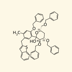 Cc1cc(OCc2ccccc2)c(C2(O)O[C@H](COCc3ccccc3)C[C@H](OCc3ccccc3)[C@H]2OCc2ccccc2)cc1Cc1cc2ccccc2s1